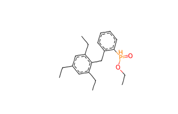 CCO[PH](=O)c1ccccc1Cc1c(CC)cc(CC)cc1CC